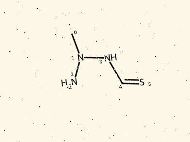 CN(N)NC=S